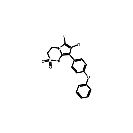 O=S1(=O)CCn2c(Cl)c(Cl)c(-c3ccc(Oc4ccccc4)cc3)c2N1